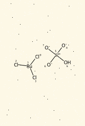 [Cl][Ru]([Cl])[Cl].[O-][I+3]([O-])([O-])O